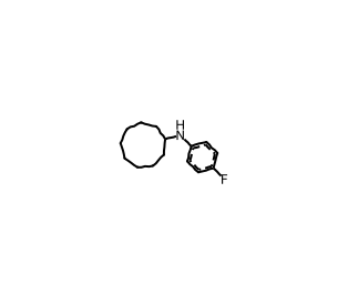 Fc1ccc(NC2CCCCCCCC2)cc1